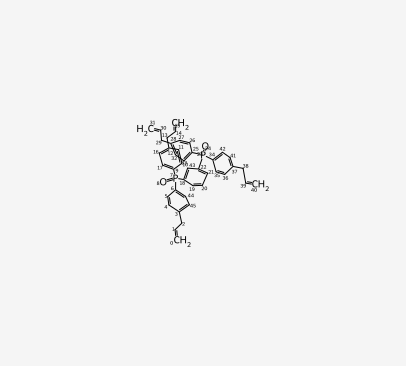 C=CCc1ccc(P(=O)(c2ccc(CC=C)cc2)c2cccc(P(=O)(c3ccc(CC=C)cc3)c3ccc(CC=C)cc3)c2)cc1